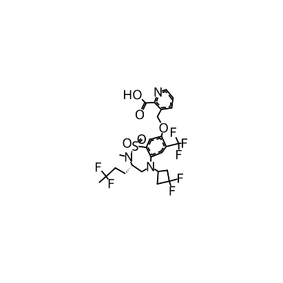 CN1[C@@H](CCC(C)(F)F)CN(C2CC(F)(F)C2)c2cc(C(F)(F)F)c(OCc3cccnc3C(=O)O)cc2S1(=O)=O